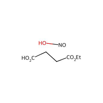 CCOC(=O)CCC(=O)O.O=NO